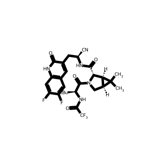 CC(C)(C)[C@H](NC(=O)C(F)(F)F)C(=O)N1C[C@H]2[C@@H]([C@H]1C(=O)N[C@H](C#N)Cc1cc3cc(F)c(F)cc3[nH]c1=O)C2(C)C